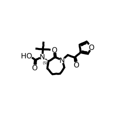 CC(C)(C)N(C(=O)O)[C@H]1CCCCN(CC(=O)c2ccoc2)C1=O